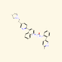 Cc1ccc(-c2ccc(C(C)(C)C)cc2NC(=O)Nc2ccc(-c3ccc(CCN4CCCC4)cn3)c3ccccc23)cn1